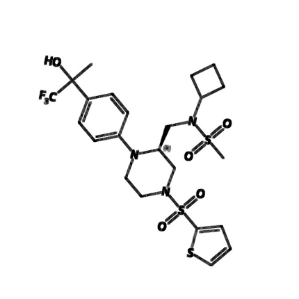 CC(O)(c1ccc(N2CCN(S(=O)(=O)c3cccs3)C[C@@H]2CN(C2CCC2)S(C)(=O)=O)cc1)C(F)(F)F